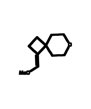 COC=C1CCC12CCOCC2